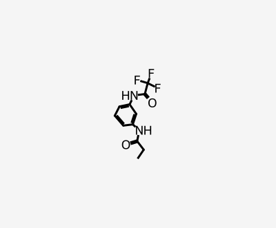 CCC(=O)Nc1cccc(NC(=O)C(F)(F)F)c1